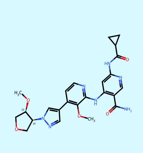 COc1c(-c2cnn([C@H]3COC[C@H]3OC)c2)ccnc1Nc1cc(NC(=O)C2CC2)ncc1C(N)=O